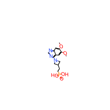 COc1cc2ncnc(N3CC(CCP(=O)(O)O)C3)c2cc1OC